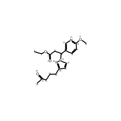 CCOC(=O)CC(c1ccc(OC)nc1)n1ccc(CCCC(C)=O)n1